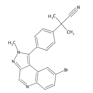 Cn1nc2cnc3ccc(Br)cc3c2c1-c1ccc(C(C)(C)C#N)cc1